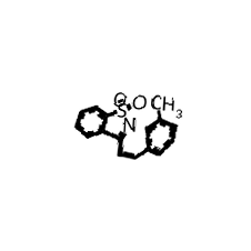 Cc1cccc(/C=C\C2=NS(=O)(=O)c3ccccc32)c1